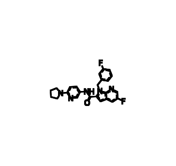 O=C(Nc1ccc(N2CCCC2)nc1)c1cc2cc(F)cnc2n1Cc1cccc(F)c1